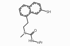 CCCNC(=O)N(C)CCc1cccc2ccc(S)cc12